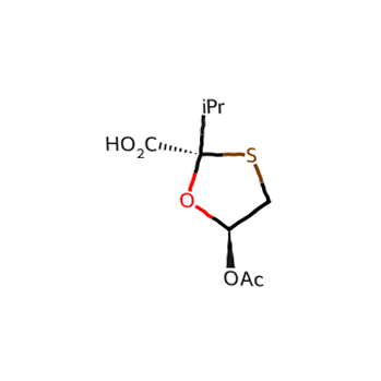 CC(=O)O[C@@H]1CS[C@](C(=O)O)(C(C)C)O1